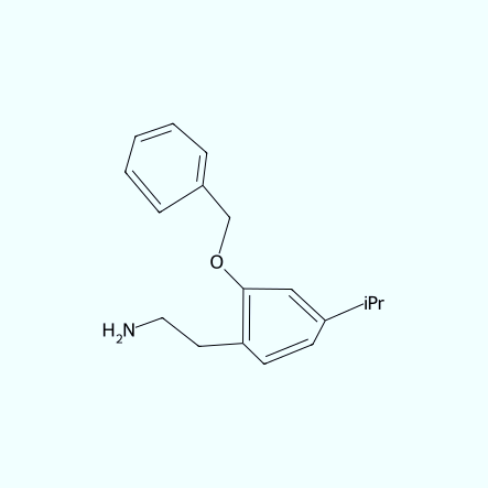 CC(C)c1ccc(CCN)c(OCc2ccccc2)c1